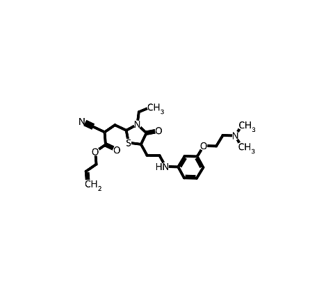 C=CCOC(=O)C(C#N)CC1SC(CCNc2cccc(OCCN(C)C)c2)C(=O)N1CC